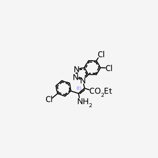 CCOC(=O)/C(=C(\N)c1cccc(Cl)c1)n1nnc2cc(Cl)c(Cl)cc21